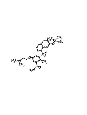 Cc1c(C(N)=O)cc(OCCN(C)C)cc1C1(c2cccc3ccc(O[Si](C)(C)C(C)(C)C)cc23)CC1